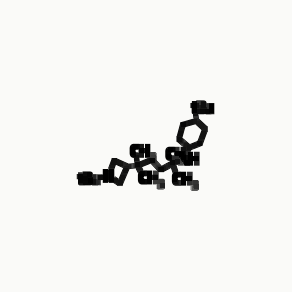 CC(C)(CCC(C)(C)C1CN(C(C)(C)C)C1)NC1CCC(C(C)(C)C)CC1